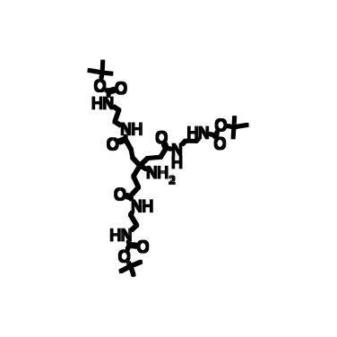 CC(C)(C)OC(=O)NCCNC(=O)CCC(N)(CCC(=O)NCCNC(=O)OC(C)(C)C)CCC(=O)NCCNC(=O)OC(C)(C)C